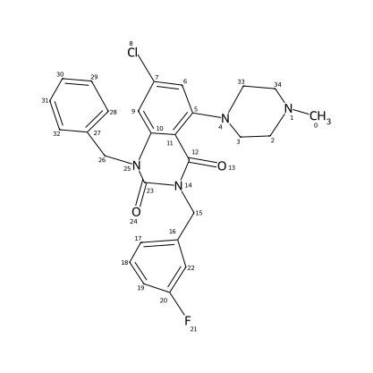 CN1CCN(c2cc(Cl)cc3c2c(=O)n(Cc2cccc(F)c2)c(=O)n3Cc2ccccc2)CC1